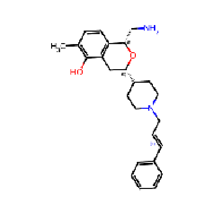 Cc1ccc2c(c1O)C[C@@H](C1CCN(C/C=C/c3ccccc3)CC1)O[C@H]2CN